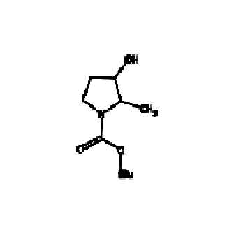 CC1C(O)CCN1C(=O)OC(C)(C)C